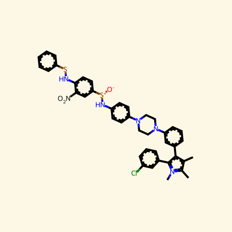 Cc1c(-c2cccc(N3CCN(c4ccc(N[S+]([O-])c5ccc(NSc6ccccc6)c([N+](=O)[O-])c5)cc4)CC3)c2)c(-c2cccc(Cl)c2)n(C)c1C